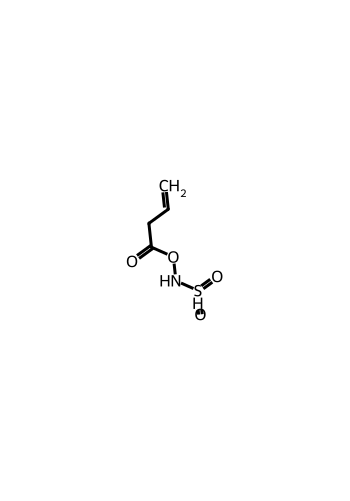 C=CCC(=O)ON[SH](=O)=O